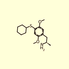 COc1cc(SC2CCCCC2)c(OC)cc1C[C@@H](C)N